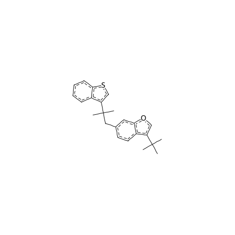 CC(C)(C)c1coc2cc(CC(C)(C)c3csc4ccccc34)ccc12